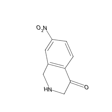 O=C1CNCc2cc([N+](=O)[O-])ccc21